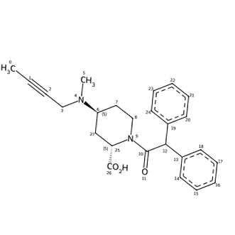 CC#CCN(C)[C@H]1CCN(C(=O)C(c2ccccc2)c2ccccc2)[C@H](C(=O)O)C1